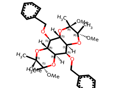 CO[C@@]1(C)O[C@@H]2[C@@H](OCc3ccccc3)[C@@H]3O[C@@](C)(OC)[C@](C)(OC)O[C@H]3[C@@H](OCc3ccccc3)[C@H]2O[C@]1(C)OC